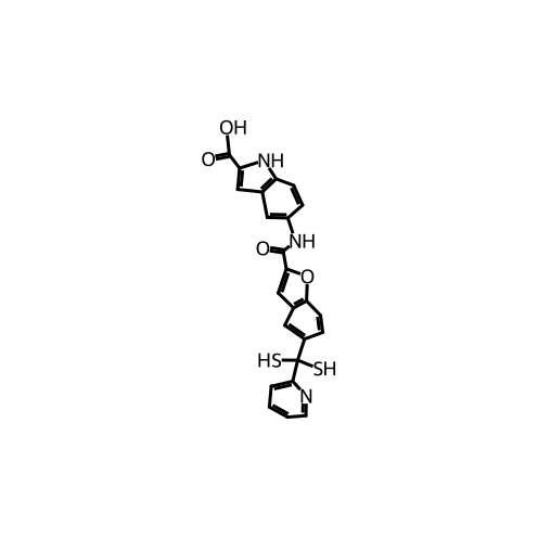 O=C(O)c1cc2cc(NC(=O)c3cc4cc(C(S)(S)c5ccccn5)ccc4o3)ccc2[nH]1